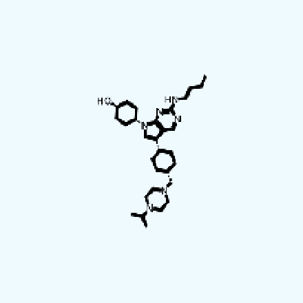 CCCCNc1ncc2c(n1)n([C@H]1CC[C@H](O)CC1)cc2[C@H]1CC[C@@H](CN2CCN(C(C)C)CC2)CC1